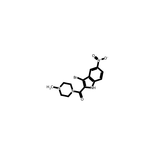 CN1CCN(C(=O)c2[nH]c3ccc([N+](=O)[O-])cc3c2Br)CC1